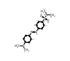 CN(C)c1ccc(N=Nc2ccc(S(=O)(=O)N(C)C)cc2)cc1